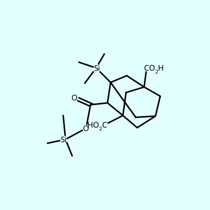 C[Si](C)(C)OC(=O)C1C2(C(=O)O)CC3CC(C(=O)O)(C2)CC1([Si](C)(C)C)C3